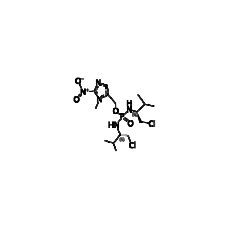 CC(C)[C@@H](CCl)NP(=O)(N[C@H](CCl)C(C)C)OCc1cnc([N+](=O)[O-])n1C